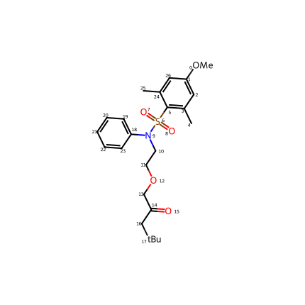 COc1cc(C)c(S(=O)(=O)N(CCOCC(=O)CC(C)(C)C)c2ccccc2)c(C)c1